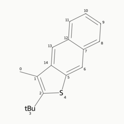 Cc1c(C(C)(C)C)sc2cc3ccccc3cc12